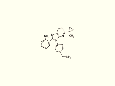 CC1(c2ccc3nc(-c4cccnc4N)n(-c4ccc(CN)cc4)c3n2)CC1